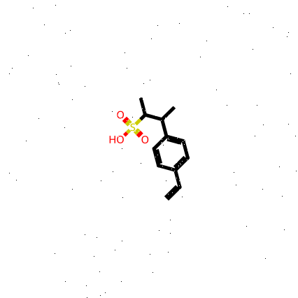 C=Cc1ccc(C(C)C(C)S(=O)(=O)O)cc1